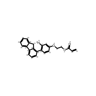 [2H]c1cc(OCCOC(=O)C=C)ccc1-c1cccc2c1Cc1ccccc1-2